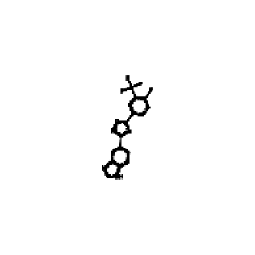 Fc1ccc(-c2nc(-c3ccc4[nH]cnc4c3)no2)cc1C(F)(F)F